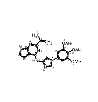 C=C(C)c1nc(Nc2cn(-c3cc(OC)c(OC)c(OC)c3)cn2)c2ccsc2n1